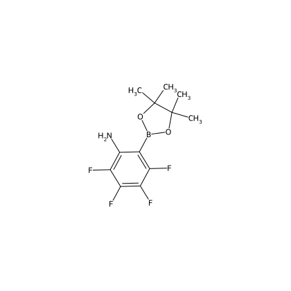 CC1(C)OB(c2c(N)c(F)c(F)c(F)c2F)OC1(C)C